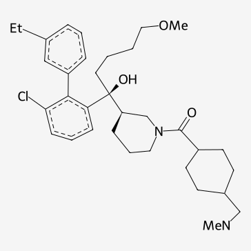 CCc1cccc(-c2c(Cl)cccc2[C@](O)(CCCCOC)[C@@H]2CCCN(C(=O)C3CCC(CNC)CC3)C2)c1